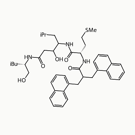 CCC(C)[C@@H](CO)NC(=O)CC(O)C(CC(C)C)NC(=O)[C@H](CCSC)NC(=O)C(Cc1cccc2ccccc12)Cc1cccc2ccccc12